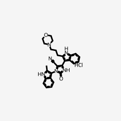 Cc1[nH]c2ccccc2c1-n1c(C#N)c(-c2c(CCCN3CCOCC3)[nH]c3ccccc23)[nH]c1=O.Cl